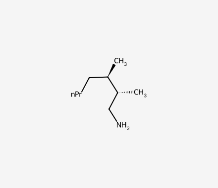 CCCC[C@@H](C)[C@H](C)CN